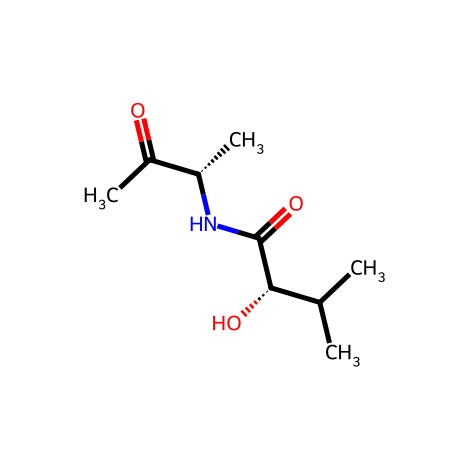 CC(=O)[C@H](C)NC(=O)[C@@H](O)C(C)C